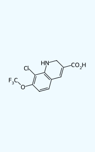 O=C(O)C1=Cc2ccc(OC(F)(F)F)c(Cl)c2NC1